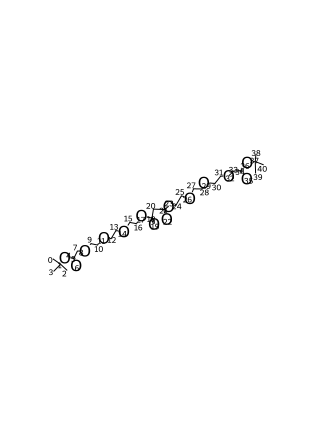 CC(C)(C)OC(=O)COCCOCCOCCOC(=O)CC(=O)OCCOCCOCCOCC(=O)OC(C)(C)C